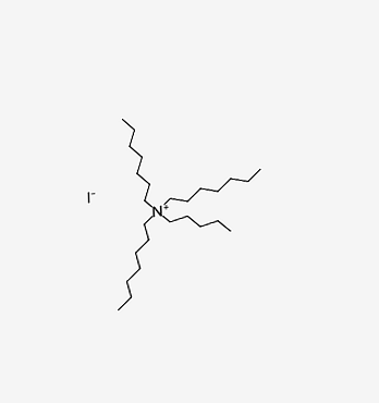 CCCCCCC[N+](CCCCC)(CCCCCCC)CCCCCCC.[I-]